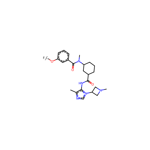 Cc1ncn(C2CN(C)C2)c1NC(=O)C1CCCC(N(C)C(=O)c2cccc(OC(F)(F)F)c2)C1